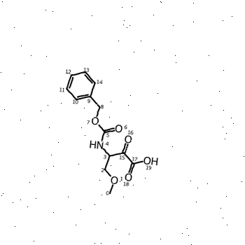 COCC(NC(=O)OCc1ccccc1)C(=O)C(=O)O